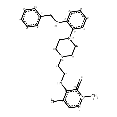 Cn1ncc(Cl)c(NCCN2CCN(c3ccccc3OCc3ccccc3)CC2)c1=O